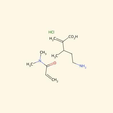 C=C(C(=O)O)C(C)CCN.C=CC(=O)N(C)C.Cl